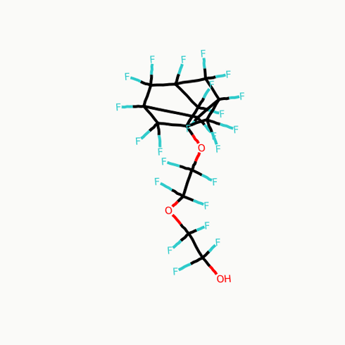 OC(F)(F)C(F)(F)OC(F)(F)C(F)(F)OC12C(F)(F)C3(F)C(F)(F)C(F)(C(F)(F)C(F)(C3(F)F)C1(F)F)C2(F)F